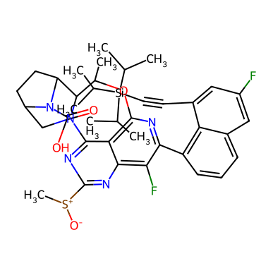 CC1Oc2nc(-c3cccc4cc(F)cc(C#C[Si](C(C)C)(C(C)C)C(C)C)c34)c(F)c3nc([S+](C)[O-])nc(c23)N2CC3CCC(C12)N3C(=O)O